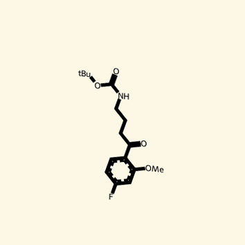 COc1cc(F)ccc1C(=O)CCCNC(=O)OC(C)(C)C